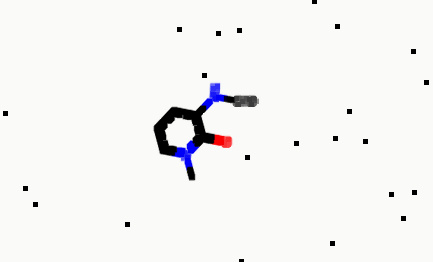 Cn1cccc(N[C]=O)c1=O